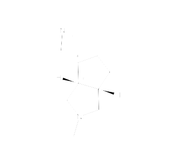 CN1C[C@H]2CC[C@@H](CN)[C@H]2C1